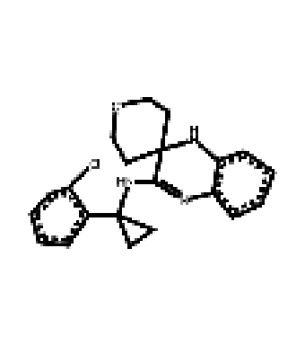 Clc1ccccc1C1(NC2=Nc3ccccc3NC23CCOCC3)CC1